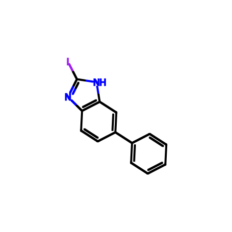 Ic1nc2ccc(-c3ccccc3)cc2[nH]1